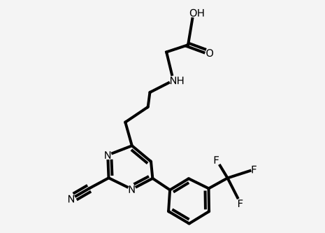 N#Cc1nc(CCCNCC(=O)O)cc(-c2cccc(C(F)(F)F)c2)n1